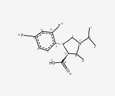 CC(C)N1C[C@@H](c2ccc(F)cc2F)[C@H](C(=O)O)C1C